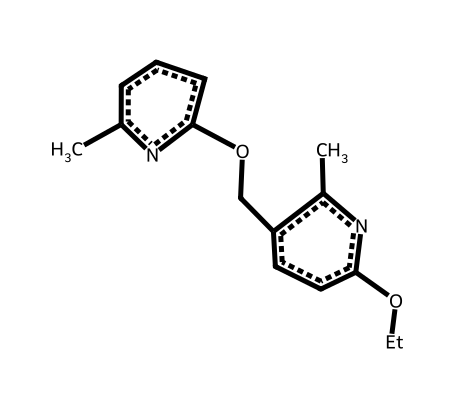 CCOc1ccc(COc2cccc(C)n2)c(C)n1